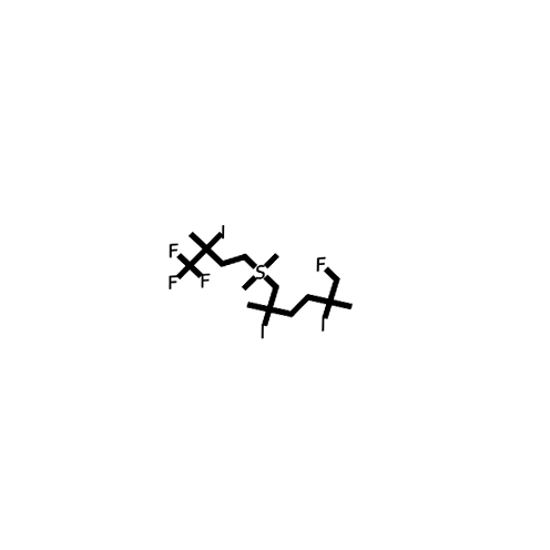 CC(I)(CF)CCC(C)(I)CS(C)(C)CCC(C)(I)C(F)(F)F